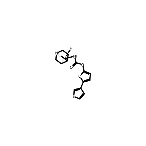 O=C(N[C@H]1CN2CCC1CC2)Oc1ccc(-c2ccsc2)o1